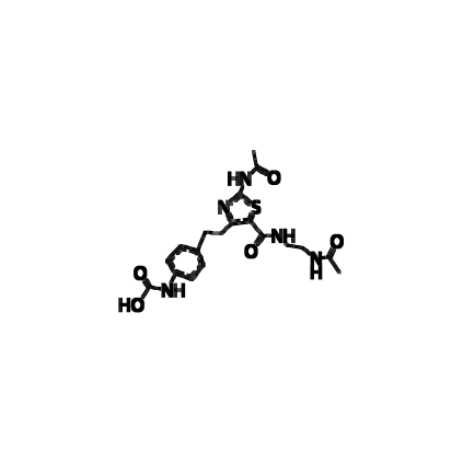 CC(=O)NCCNC(=O)c1sc(NC(C)=O)nc1CCc1ccc(NC(=O)O)cc1